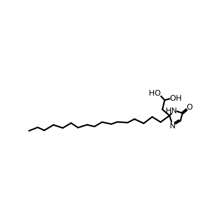 CCCCCCCCCCCCCCCCCC1(CC(O)O)N=CC(=O)N1